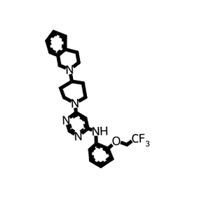 FC(F)(F)COc1ccccc1Nc1cc(N2CCC(N3CCc4ccccc4C3)CC2)ncn1